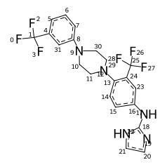 FC(F)(F)c1cccc(N2CCN(c3ccc(Nc4ncc[nH]4)cc3C(F)(F)F)CC2)c1